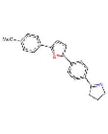 COc1ccc(-c2ccc(-c3ccc(C4=NCCC4)cc3)o2)cc1